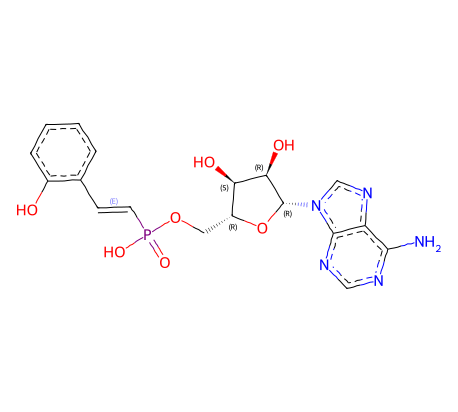 Nc1ncnc2c1ncn2[C@@H]1O[C@H](COP(=O)(O)/C=C/c2ccccc2O)[C@@H](O)[C@H]1O